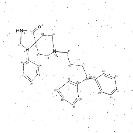 O=C1NCN(c2ccccc2)C12CCN(CCCN(c1ccccc1)c1ccccc1)CC2